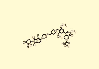 CNC(=O)N1CCc2c(-c3cc(OC)c(CN4CCC(CCN5CCN(c6ccc7c(c6F)C(=O)N(C6CCC(=O)NC6=O)C7=O)CC5)CC4)c(OC)c3)cn(C)c(=O)c2C1